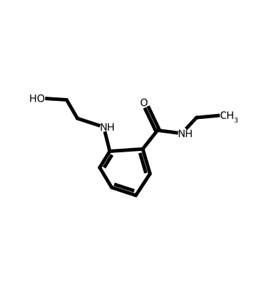 CCNC(=O)c1ccccc1NCCO